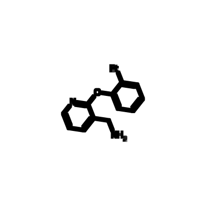 CCc1ccccc1Oc1ncccc1CN